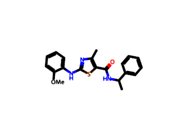 COc1ccccc1Nc1nc(C)c(C(=O)NC(C)c2ccccc2)s1